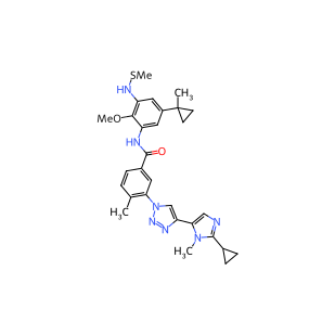 COc1c(NSC)cc(C2(C)CC2)cc1NC(=O)c1ccc(C)c(-n2cc(-c3cnc(C4CC4)n3C)nn2)c1